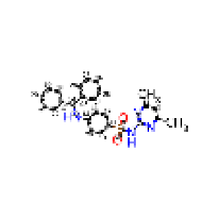 Cc1cc(C)nc(NS(=O)(=O)c2ccc(NC(c3ccccc3)c3ccccc3)cc2)n1